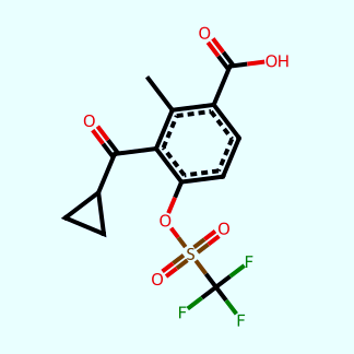 Cc1c(C(=O)O)ccc(OS(=O)(=O)C(F)(F)F)c1C(=O)C1CC1